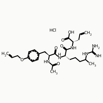 C=CCOc1ccc(C[C@H](NC(C)=O)C(=O)N[C@@H](CCCC(C)NC(=N)N)C(=O)N[C@@H](CC=C)C(=O)O)cc1.Cl